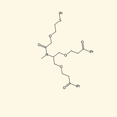 CC(C)SCCOCC(=O)N(C)C(COCCC(=O)C(C)C)COCCC(=O)C(C)C